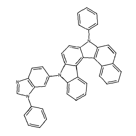 c1ccc(-n2cnc3ccc(-n4c5ccccc5c5c6c7c8ccccc8ccc7n(-c7ccccc7)c6ccc54)cc32)cc1